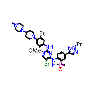 CCc1cc(Nc2ncc(Br)c(Nc3ccc(-c4cnn(C(C)C)n4)cc3P(C)(C)=O)n2)c(OC)cc1N1CCC(N2CCN(C)CC2)CC1